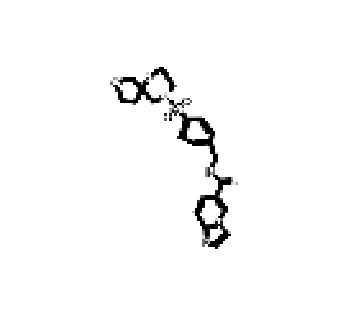 O=C(NCc1ccc(S(=O)(=O)N2CCOC3(CCOC3)C2)cc1)c1ccc2nccn2c1